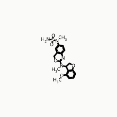 COc1cccc2c1C(N(C)C1=Nc3ccc(N(C)S(N)(=O)=O)cc3CO1)CO2